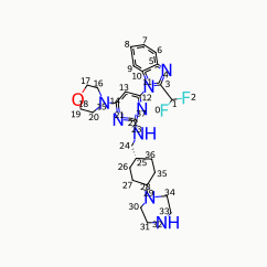 FC(F)c1nc2ccccc2n1-c1cc(N2CCOCC2)nc(NC[C@H]2CC[C@@H](N3CCNCC3)CC2)n1